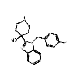 OC1(c2nc3ccccc3n2Cc2ccc(F)cc2)CCNCC1